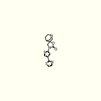 O=C1OC2(CN3CCC2CC3)CN1c1cc(-c2nccs2)cs1